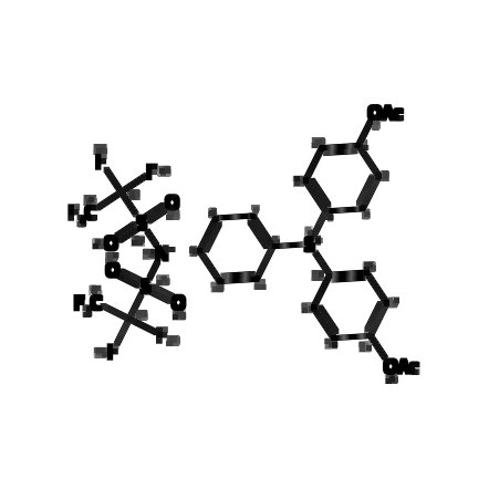 CC(=O)Oc1ccc([S+](c2ccccc2)c2ccc(OC(C)=O)cc2)cc1.O=S(=O)([N-]S(=O)(=O)C(F)(F)C(F)(F)F)C(F)(F)C(F)(F)F